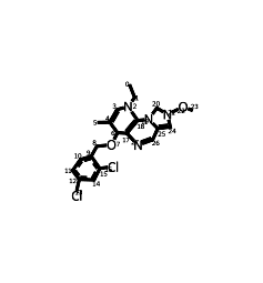 CCN1C=C(C)C(OCc2ccc(Cl)cc2Cl)C2=C1N1CN(OC)C=C1C=N2